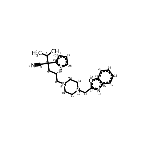 CC(C)C(C#N)(CCCN1CCN(Cc2nc3ccccc3o2)CC1)c1cccs1